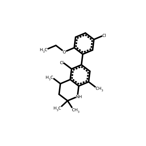 CCOc1ccc(Cl)cc1-c1cc(C)c2c(c1Cl)C(C)CC(C)(C)N2